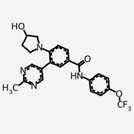 Cc1ncc(-c2cc(C(=O)Nc3ccc(OC(F)(F)F)cc3)ccc2N2CCC(O)C2)cn1